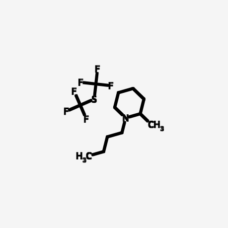 CCCCN1CCCCC1C.FC(F)(F)SC(F)(F)F